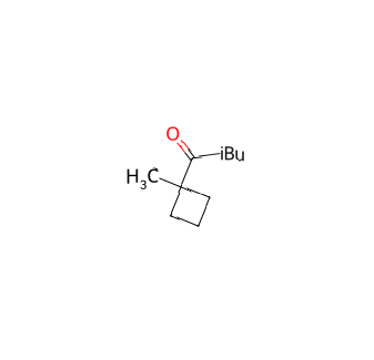 CCC(C)C(=O)C1(C)CCC1